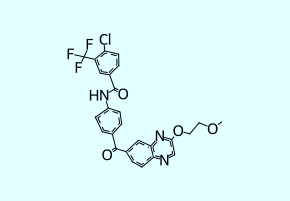 COCCOc1cnc2ccc(C(=O)c3ccc(NC(=O)c4ccc(Cl)c(C(F)(F)F)c4)cc3)cc2n1